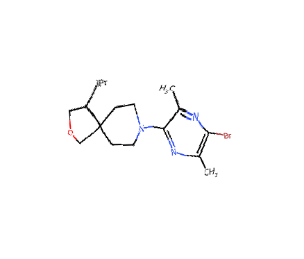 Cc1nc(N2CCC3(CC2)COCC3C(C)C)c(C)nc1Br